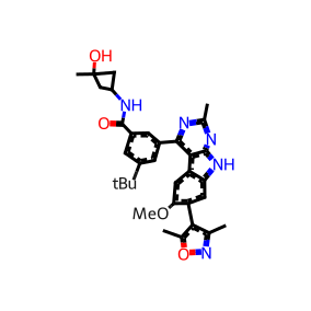 COc1cc2c(cc1-c1c(C)noc1C)[nH]c1nc(C)nc(-c3cc(C(=O)NC4CC(C)(O)C4)cc(C(C)(C)C)c3)c12